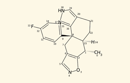 C[C@@H]1c2oncc2C[C@]2(c3ccc(F)cc3)c3n[nH]cc3CC[C@@H]12